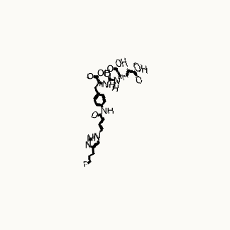 O=C(O)CC[C@H](NC(=O)N[C@@H](Cc1ccc(NC(=O)CCCn2cc(CCCF)nn2)cc1)C(=O)O)C(=O)O